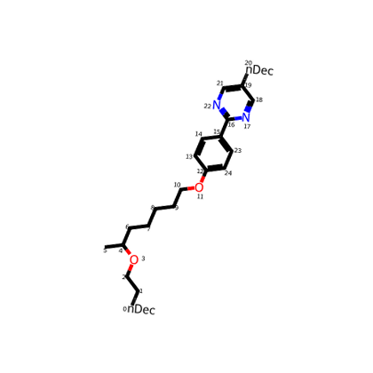 CCCCCCCCCCCCOC(C)CCCCCOc1ccc(-c2ncc(CCCCCCCCCC)cn2)cc1